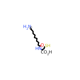 NCCCCCCCCCCC(=O)NC(CCS)C(=O)O